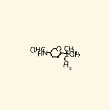 CC(C)(O)C1CCC(NC=O)CO1